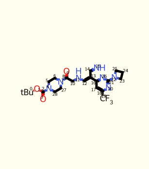 CC(C)(C)OC(=O)N1CCN(C(=O)CN/C=C(\C=N)c2cc(C(F)(F)F)nc(N3CCC3)n2)CC1